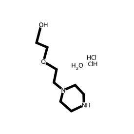 Cl.Cl.O.OCCOCCN1CCNCC1